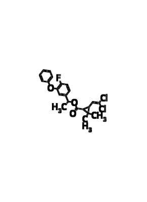 CC(OC(=O)C1C(C=C(Cl)Cl)C1(C)C)c1ccc(F)c(Oc2ccccc2)c1